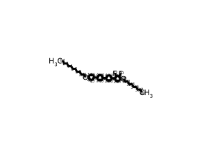 CCCCCCCCCCCCOc1ccc(-c2ccc(-c3ccc(-c4ccc(OCCCCCCCCC)c(F)c4F)cc3)cc2)cc1